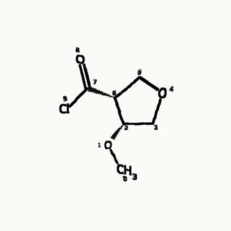 CO[C@H]1COC[C@H]1C(=O)Cl